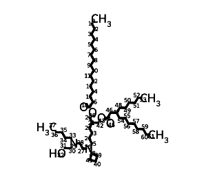 CCCCCCCCCCCCCCCCCC(=O)OCC(CCCCN(CCN(CCO)CCCCC)C1CCC1)COC(=O)CC(CCCCCC)CCCCCCCC